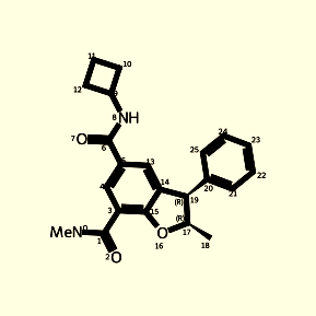 CNC(=O)c1cc(C(=O)NC2CCC2)cc2c1O[C@H](C)[C@@H]2c1ccccc1